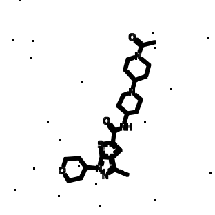 CC(=O)N1CCC(N2CCC(NC(=O)c3cc4c(C)nn(C5CCOCC5)c4s3)CC2)CC1